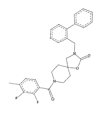 Cc1ccc(C(=O)N2CCC3(CC2)CN(Cc2ccccc2-c2ccccc2)C(=O)O3)c(F)c1F